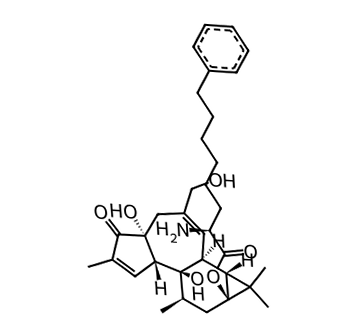 CC1=C[C@H]2[C@@]3(O)[C@H](C)C[C@]4(OC(=O)[C@@H](N)CCCCCCc5ccccc5)[C@H]([C@@H]3C=C(CO)C[C@]2(O)C1=O)C4(C)C